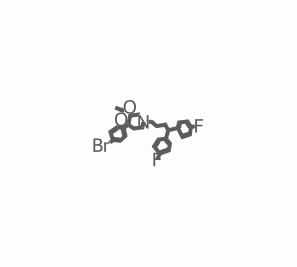 CC(=O)OC1(c2ccc(Br)cc2)CCN(CCCC(c2ccc(F)cc2)c2ccc(F)cc2)CC1